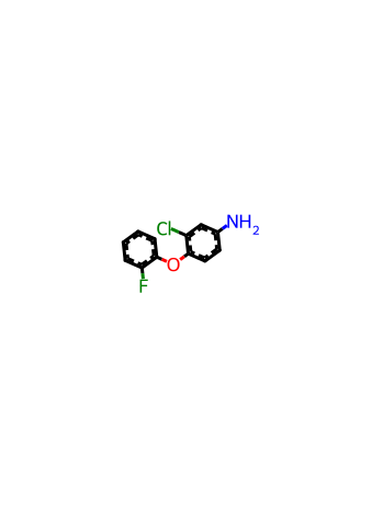 Nc1ccc(Oc2ccccc2F)c(Cl)c1